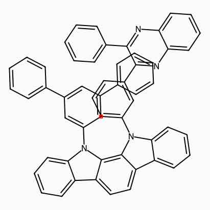 c1ccc(-c2cc(-c3ccccc3)cc(-n3c4ccccc4c4ccc5c6ccccc6n(-c6cccc(-c7nc8ccccc8nc7-c7ccccc7)c6)c5c43)c2)cc1